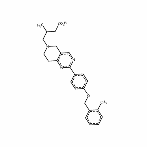 Cc1ccccc1COc1ccc(-c2ncc3c(n2)CCN(CC(C)CC(=O)O)C3)cc1